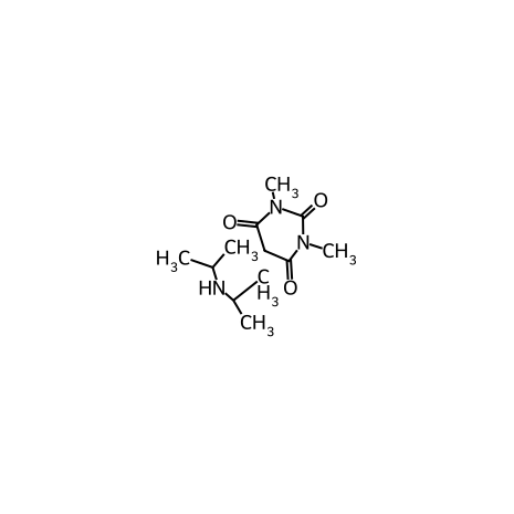 CC(C)NC(C)C.CN1C(=O)CC(=O)N(C)C1=O